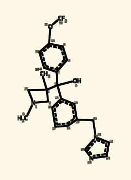 CN1CC(C)(C(O)(c2ccc(OC(F)(F)F)cc2)c2cccc(Cn3ccnc3)c2)C1